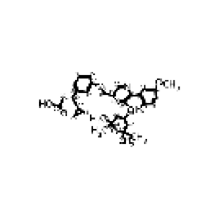 COc1ccc(F)c(-c2ncc(COc3cccc([C@@H](CC(=O)O)C4CC4)c3)nc2OC2CC(C)(C)OC(C)(C)C2)c1